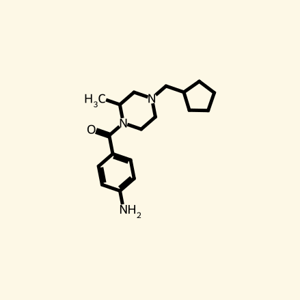 CC1CN(CC2CCCC2)CCN1C(=O)c1ccc(N)cc1